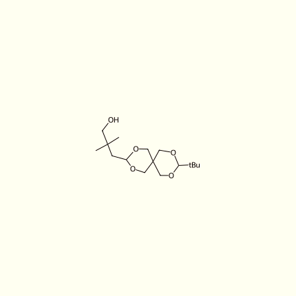 CC(C)(CO)CC1OCC2(CO1)COC(C(C)(C)C)OC2